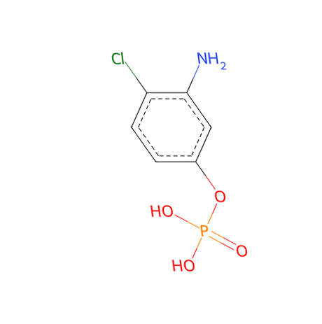 Nc1cc(OP(=O)(O)O)ccc1Cl